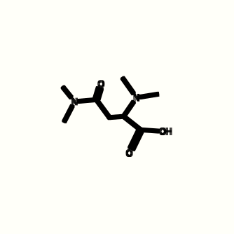 CN(C)C(=O)CC(C(=O)O)N(C)C